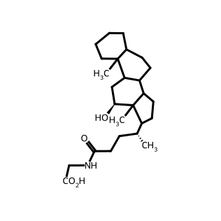 C[C@H](CCC(=O)NCC(=O)O)C1CCC2C3CCC4CCCCC4(C)C3C[C@H](O)C21C